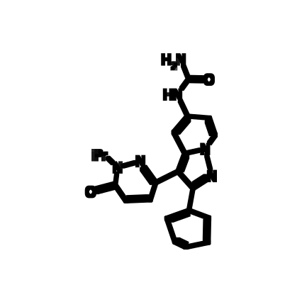 CC(C)n1nc(-c2c(-c3ccccc3)nn3ccc(NC(N)=O)cc23)ccc1=O